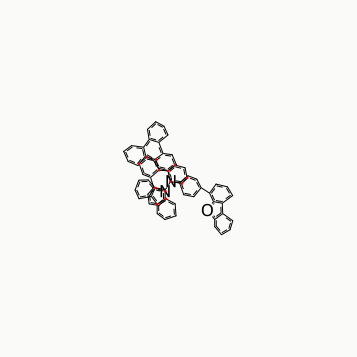 c1ccc(-c2ccccc2-n2c3ccccc3c3ccccc32)c(-c2ccccc2N(c2ccc(-c3cccc4c3oc3ccccc34)cc2)c2ccc3c4ccccc4c4ccccc4c3c2)c1